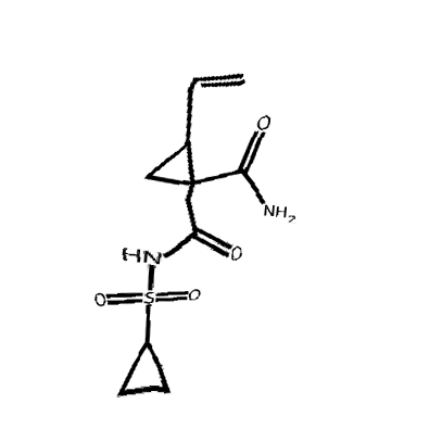 C=CC1CC1(C(N)=O)C(=O)NS(=O)(=O)C1CC1